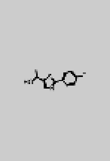 CC(O)c1cnc(-c2ccc(F)cc2)s1